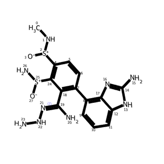 CN[S+]([O-])c1ccc(-c2cccc3[nH]c(N)nc23)c(/C(N)=N/NN)c1[S+](N)[O-]